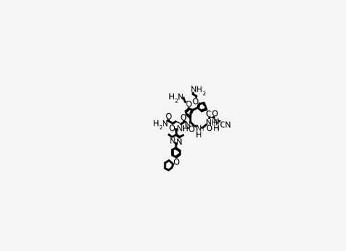 Cc1nc(-c2ccc(OC3CCCCC3)cc2)nc(C)c1C(=O)N[C@@H](CCC(N)=O)C(=O)N(C)[C@@H]1C(=O)N[C@@H](C)C(=O)N[C@H](C(=O)NCC#N)Cc2ccc(OCCN)c(c2)-c2cc1ccc2OCCN